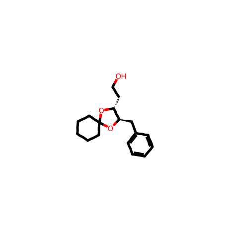 OCC[C@H]1OC2(CCCCC2)O[C@@H]1Cc1ccccc1